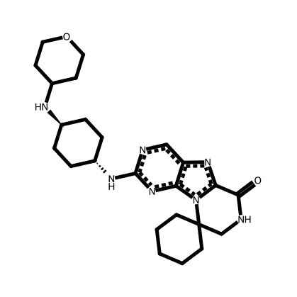 O=C1NCC2(CCCCC2)n2c1nc1cnc(N[C@H]3CC[C@H](NC4CCOCC4)CC3)nc12